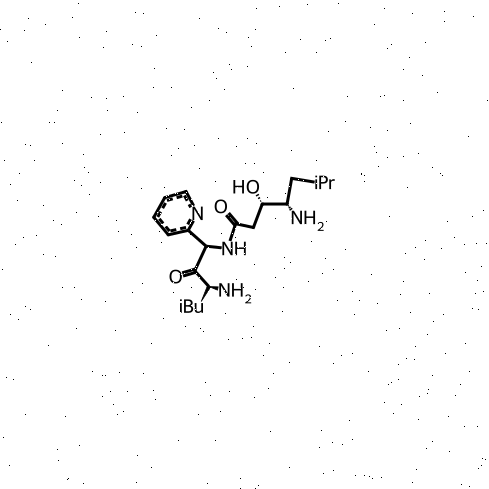 CC[C@H](C)[C@H](N)C(=O)C(NC(=O)C[C@H](O)[C@@H](N)CC(C)C)c1ccccn1